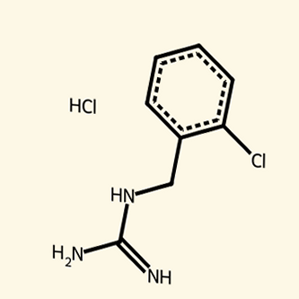 Cl.N=C(N)NCc1ccccc1Cl